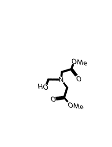 COC(=O)CN(CO)CC(=O)OC